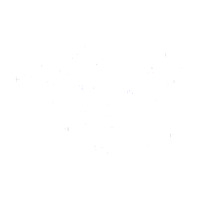 CCC(C)C(=O)C(Cc1cccc(C(=O)OC)n1)c1cc(Cl)c(OC)cc1NC(=O)OC(C)(C)C